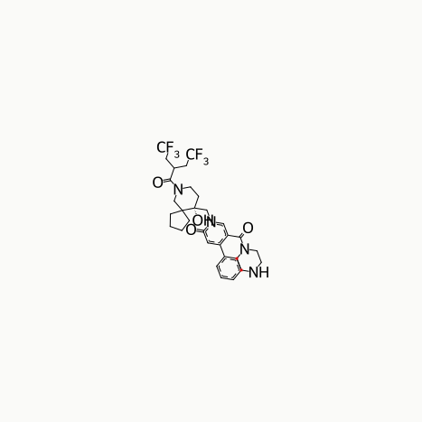 O=C(c1cn(C[C@]2(O)CCN(C(=O)C(CC(F)(F)F)CC(F)(F)F)CC23CCCC3)c(=O)cc1-c1ccccc1)N1CCNCC1